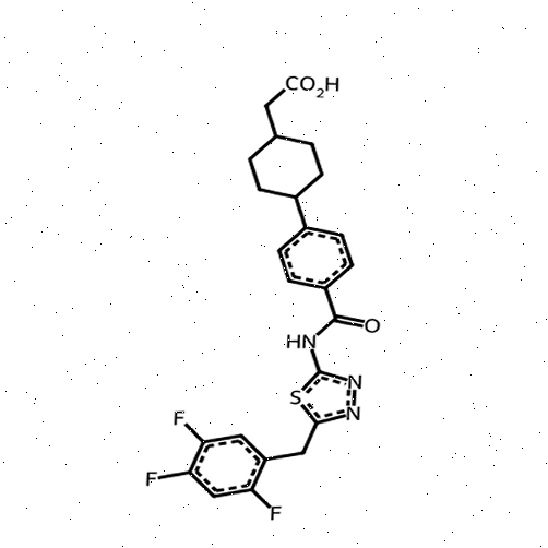 O=C(O)CC1CCC(c2ccc(C(=O)Nc3nnc(Cc4cc(F)c(F)cc4F)s3)cc2)CC1